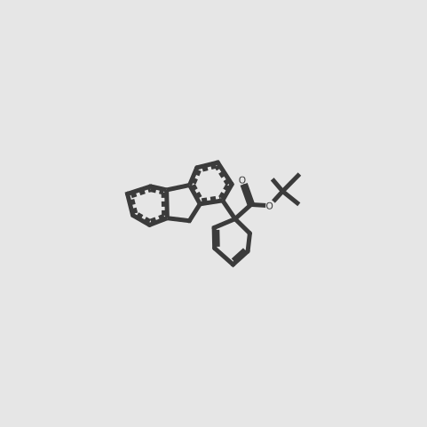 CC(C)(C)OC(=O)C1(c2cccc3c2Cc2ccccc2-3)C=CC=CC1